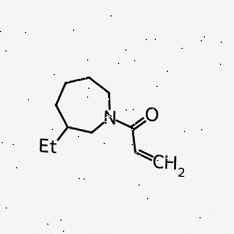 C=CC(=O)N1CCCCC(CC)C1